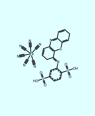 N#[C][Fe]([C]#N)([C]#N)([C]#N)([C]#N)[C]#N.O=S(=O)(O)c1ccc(S(=O)(=O)O)c(N=C2CC=CC3=C2SC2=CCC=CC2=N3)c1